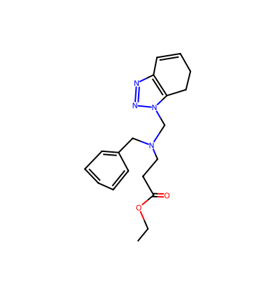 CCOC(=O)CCN(Cc1ccccc1)Cn1nnc2c1CCC=C2